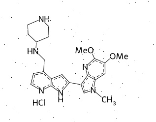 COc1cc2c(nc1OC)c(-c1cc3c(CNC4CCNCC4)ccnc3[nH]1)cn2C.Cl